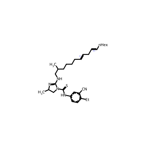 CCCCCC/C=C/C/C=C/CCCCC(C)CNC1=NC(C)CN1C(=S)Nc1ccc(CC)c(C#N)c1